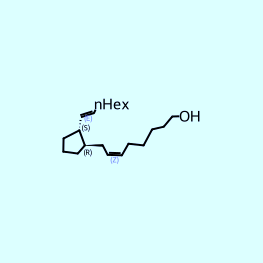 CCCCCC/C=C/[C@H]1CCC[C@@H]1C/C=C\CCCCCO